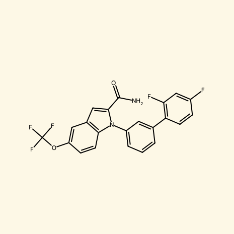 NC(=O)c1cc2cc(OC(F)(F)F)ccc2n1-c1cccc(-c2ccc(F)cc2F)c1